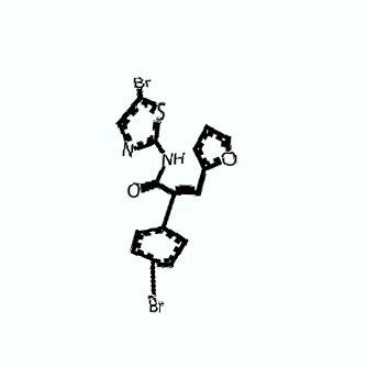 O=C(Nc1ncc(Br)s1)C(=Cc1ccco1)c1ccc(Br)cc1